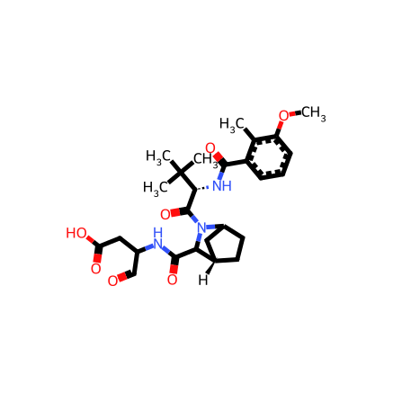 COc1cccc(C(=O)N[C@H](C(=O)N2C3CC[C@@H](C3)C2C(=O)NC(C=O)CC(=O)O)C(C)(C)C)c1C